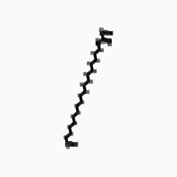 CCCCCCCCCCCCCCCCCCCCCCCCCCCCOC(=O)CCCCCC